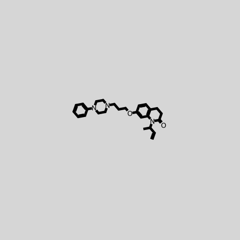 C=CC(C)N1C(=O)CCc2ccc(OCCCN3CCN(c4ccccc4)CC3)cc21